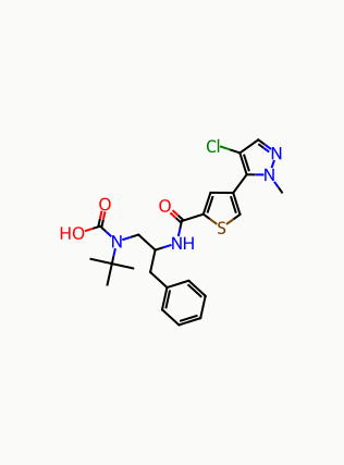 Cn1ncc(Cl)c1-c1csc(C(=O)NC(Cc2ccccc2)CN(C(=O)O)C(C)(C)C)c1